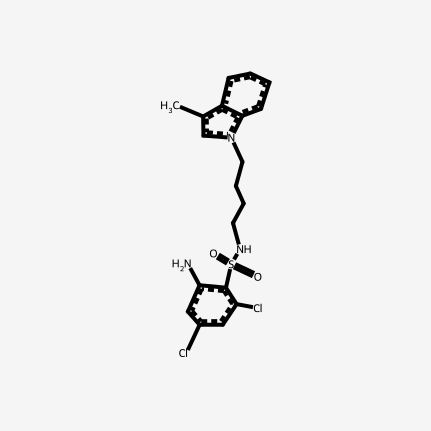 Cc1cn(CCCCNS(=O)(=O)c2c(N)cc(Cl)cc2Cl)c2ccccc12